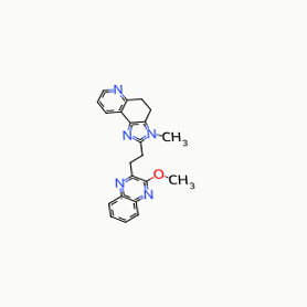 COc1nc2ccccc2nc1CCc1nc2c(n1C)CCc1ncccc1-2